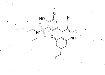 CCCC1CC(=O)C2=C(C1)NC(C)=C(C#N)C2c1cc(Br)c(O)c(S(=O)(=O)N(CC)CC)c1